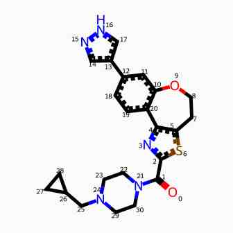 O=C(c1nc2c(s1)CCOc1cc(-c3cn[nH]c3)ccc1-2)N1CCN(CC2CC2)CC1